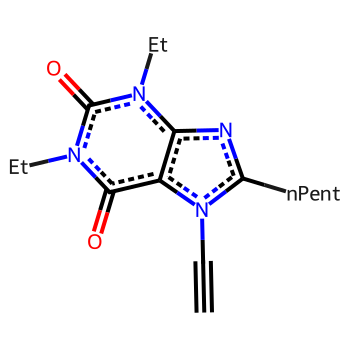 C#Cn1c(CCCCC)nc2c1c(=O)n(CC)c(=O)n2CC